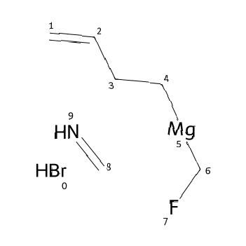 Br.C=CC[CH2][Mg][CH2]F.C=N